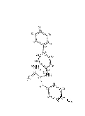 NC(=O)[C@@H](Cc1ccc(Cl)cc1)Nc1ccc(-c2ccncc2)cc1